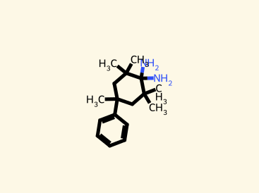 CC1(c2ccccc2)CC(C)(C)C(N)(N)C(C)(C)C1